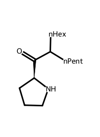 CCCCCCC(CCCCC)C(=O)[C@@H]1CCCN1